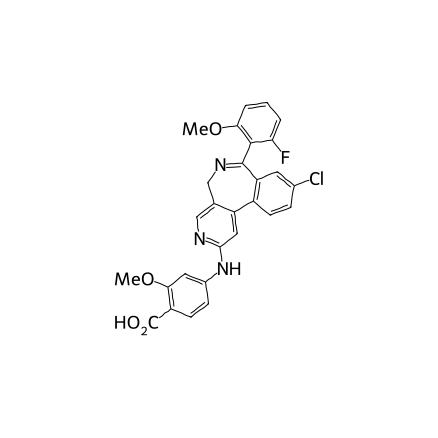 COc1cc(Nc2cc3c(cn2)CN=C(c2c(F)cccc2OC)c2cc(Cl)ccc2-3)ccc1C(=O)O